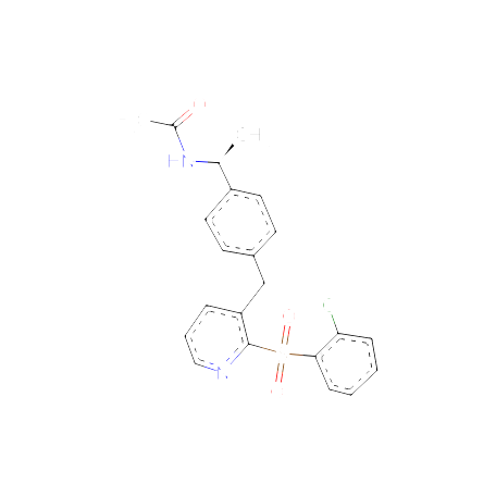 C[C@H](NC(=O)C(F)(F)F)c1ccc(Cc2cccnc2S(=O)(=O)c2ccccc2Cl)cc1